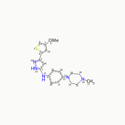 COc1csc(-c2cc(Nc3ccc(N4CCN(C)CC4)cc3)[nH]n2)c1